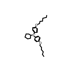 CCCCCCOc1ccc([S+](c2ccc(OCCCCCC)cc2)C2CCCCC2)cc1